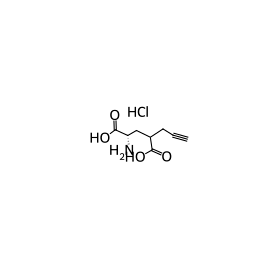 C#CCC(C[C@H](N)C(=O)O)C(=O)O.Cl